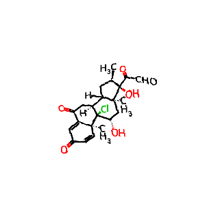 C[C@@H]1C[C@H]2[C@@H]3CC(=O)C4=CC(=O)C=C[C@]4(C)[C@@]3(Cl)[C@@H](O)C[C@]2(C)[C@@]1(O)C(=O)C=O